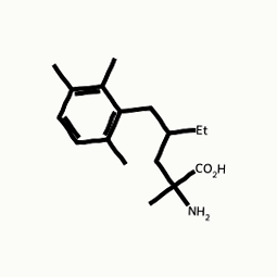 CCC(Cc1c(C)ccc(C)c1C)CC(C)(N)C(=O)O